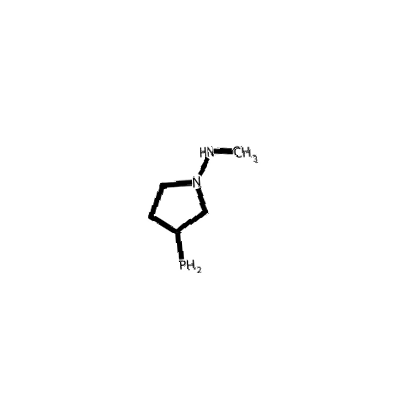 CNN1CCC(P)C1